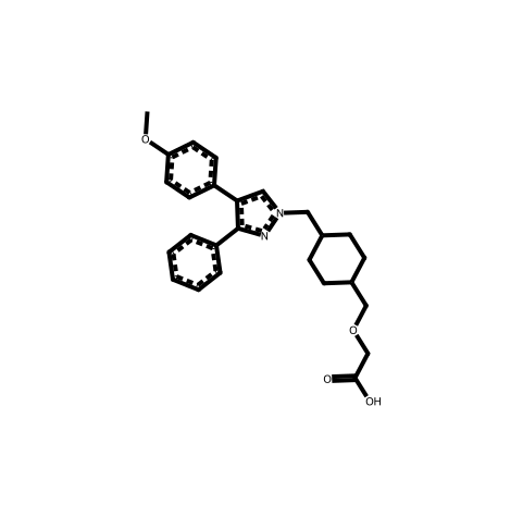 COc1ccc(-c2cn(CC3CCC(COCC(=O)O)CC3)nc2-c2ccccc2)cc1